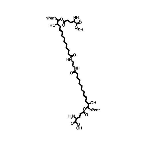 CCCCCC(OC(=O)CCC(N)C(=O)OO)C(O)CC=CCCCCCCCC(=O)NCCNC(=O)CCCCCCCC=CCC(O)C(CCCCC)OC(=O)CCC(N)C(=O)OO